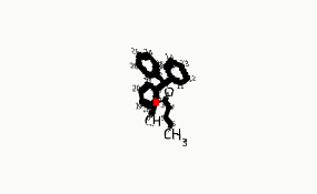 C#CC[C@H](CCCC)OC(c1ccccc1)(c1ccccc1)c1ccccc1